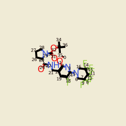 COc1nc(N2CC(F)(F)C(F)(F)C(F)(F)C2)c(F)cc1CNC(=O)[C@@H]1CCCN1C(=O)OC(C)(C)C